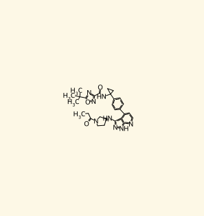 CCC(=O)N1CC[C@@H](Nc2n[nH]c3nccc(-c4ccc(C5(NC(=O)c6noc(C(C)(C)C)n6)CC5)cc4)c23)C1